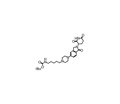 CC(C)(C)OC(=O)NCCCCCN1CCN(c2ccc3c(c2)CN(C2CCC(=O)NC2=O)C3=O)CC1